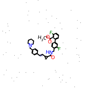 COC(=O)c1c(F)cccc1-c1ccc(CNC(=O)C2CC2/C=C/c2ccc(CN3CCCCC3)cc2)c(F)c1